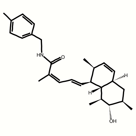 CC(=CC=C[C@@H]1[C@H]2[C@H](C)[C@@H](O)[C@H](C)C[C@@H]2C=C[C@@H]1C)C(=O)NCc1ccc(C)cc1